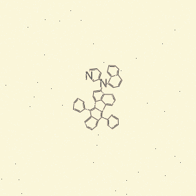 c1ccc(-c2c3c(c(-c4ccccc4)c4ccccc24)-c2ccc(N(c4cccnc4)c4cccc5ccccc45)c4cccc-3c24)cc1